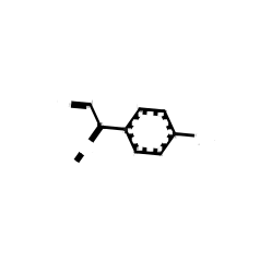 Cc1ccc(C(=C=O)C=O)cc1